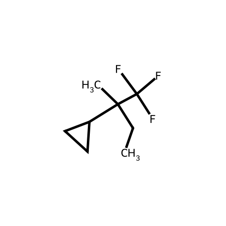 CCC(C)(C1CC1)C(F)(F)F